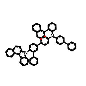 c1ccc(-c2ccc(N(c3ccc(-c4ccc(-n5c6ccccc6c6c7ccccc7ccc65)c(-c5ccccc5)c4)cc3)c3ccccc3-c3cccc4ccccc34)cc2)cc1